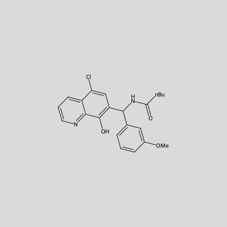 CCCCC(=O)NC(c1cccc(OC)c1)c1cc(Cl)c2cccnc2c1O